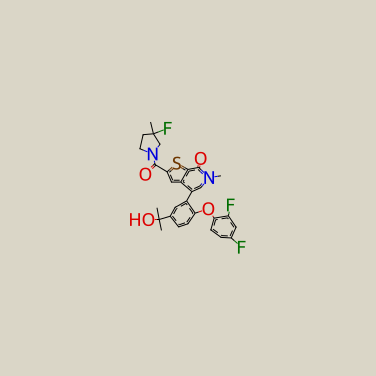 Cn1cc(-c2cc(C(C)(C)O)ccc2Oc2ccc(F)cc2F)c2cc(C(=O)N3CCC(C)(F)C3)sc2c1=O